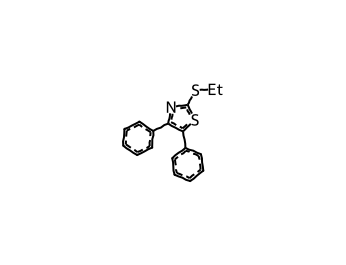 CCSc1nc(-c2ccccc2)c(-c2ccccc2)s1